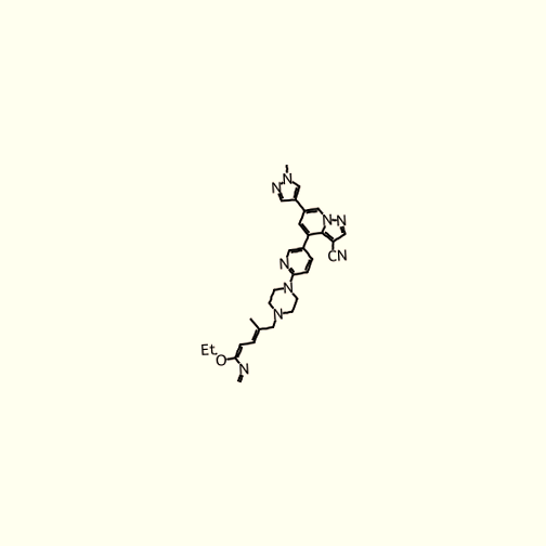 C=N/C(=C\C=C(/C)CN1CCN(c2ccc(-c3cc(-c4cnn(C)c4)cn4ncc(C#N)c34)cn2)CC1)OCC